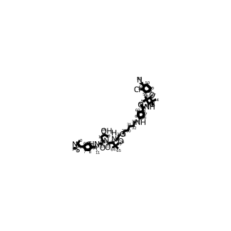 Cc1ncsc1-c1ccc([C@@H](C)NC(=O)[C@@H]2C[C@@H](O)CN2C(=O)[C@@H](NC(=O)COCCCCCNc2ccc(C(=O)N[C@H]3C(C)(C)[C@H](Oc4ccc(C#N)c(Cl)c4)C3(C)C)cc2)C(C)(C)C)cc1